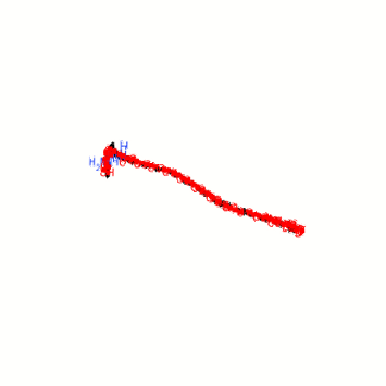 COCCOCCOCCOCCOCCOCCOCCOCCOCCOCCOCCOCCOCCOCCOCCOCCOCCOCCOCCOCCOCCOCCOCCOCCC(=O)NCCCCC(NC(=O)C(CN)NC(=O)CC(CC(C)C)C(=O)O)C(=O)C(C)C